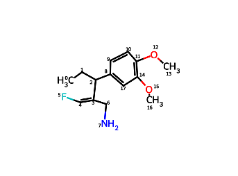 CCC(/C(=C\F)CN)c1ccc(OC)c(OC)c1